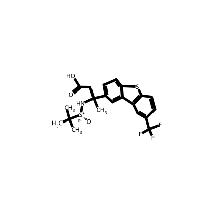 CC(CC(=O)O)(N[S@+]([O-])C(C)(C)C)c1ccc2sc3ccc(C(F)(F)F)cc3c2c1